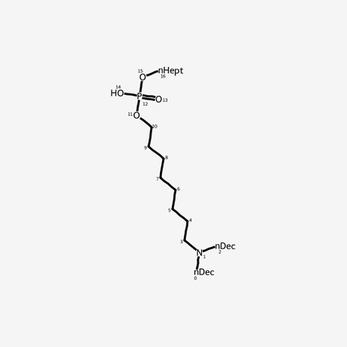 CCCCCCCCCCN(CCCCCCCCCC)CCCCCCCCOP(=O)(O)OCCCCCCC